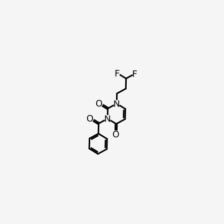 O=C(c1ccccc1)n1c(=O)ccn(CCC(F)F)c1=O